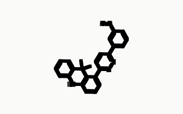 COc1cccc(-c2ccc(-c3cccc4c3C(C)(C)c3ccccc3N4)nn2)c1